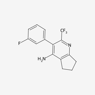 Nc1c2c(nc(C(F)(F)F)c1-c1cccc(F)c1)CCC2